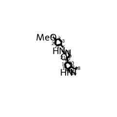 COc1ccc(CNc2ncc(-c3ccc4[nH]nc(C)c4c3)o2)cc1